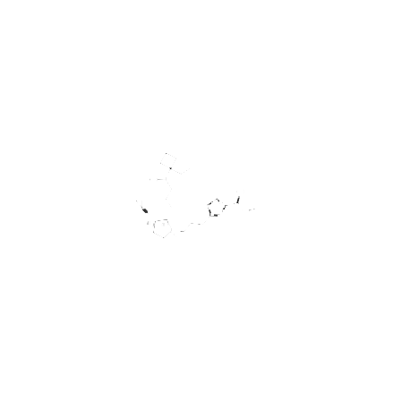 CCC1(C(O)CCC[C@@H]2[C@@H](CCCc3ccc(C(=O)OC)s3)CC[C@H]2C#N)CCC1